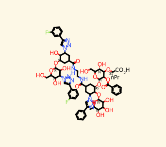 CCC[C@H](OC1C(OC(=O)c2ccccc2)[C@H](O[C@@H]2CC(C(=O)NCCNC(=O)C3CC(n4cc(-c5cccc(F)c5)nn4)C(O)[C@H](O[C@@H]4OC(CO)[C@H](O)C(n5cc(-c6cccc(F)c6)nn5)C4O)C3)CC(n3cc(-c4ccccc4)nn3)C2O[C@@H]2OC(C)[C@@H](O)C(O)C2O)OC(CO)[C@@H]1O)C(=O)O